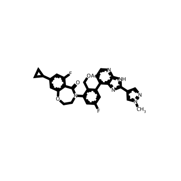 CC(=O)OCc1c(-c2ccnc3[nH]c(-c4cnn(C)c4)nc23)cc(F)cc1N1CCOc2cc(C3CC3)cc(F)c2C1=O